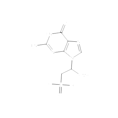 COC(CP(=O)(O)O)n1cnc2c(=O)[nH]c(N)nc21